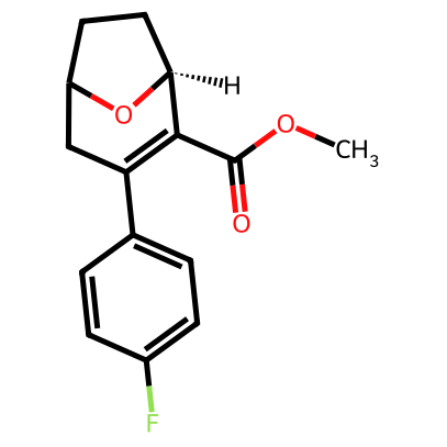 COC(=O)C1=C(c2ccc(F)cc2)CC2CC[C@@H]1O2